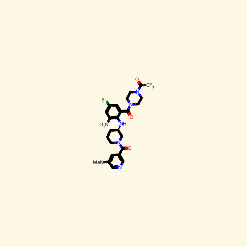 CNc1cncc(C(=O)N2CCC[C@@H](Nc3c(C(=O)N4CCN(C(=O)C(F)(F)F)CC4)cc(Br)cc3[N+](=O)[O-])C2)c1